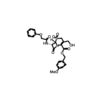 COc1ccc(COC(=O)C2=C(CO)CS(=O)(=O)[C@H]3[C@@H](NC(=O)COc4ccccc4)C(=O)N23)cc1